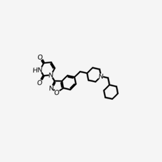 O=c1ccn(-c2noc3ccc(CC4CCN(CC5CCCCC5)CC4)cc23)c(=O)[nH]1